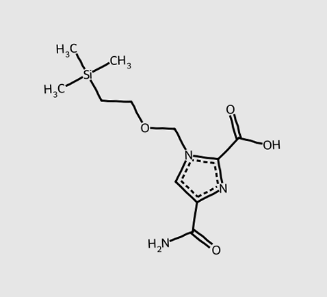 C[Si](C)(C)CCOCn1cc(C(N)=O)nc1C(=O)O